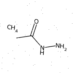 C.CC(=O)NN